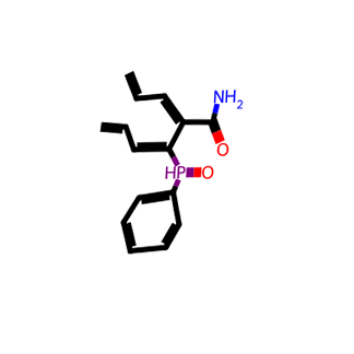 C=C/C=C(C(N)=O)\C(=C/C=C)[PH](=O)c1ccccc1